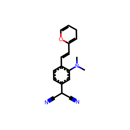 CN(C)c1cc(C(C#N)C#N)ccc1/C=C/C1=CCC=CO1